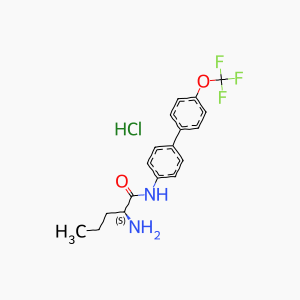 CCC[C@H](N)C(=O)Nc1ccc(-c2ccc(OC(F)(F)F)cc2)cc1.Cl